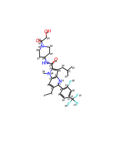 CCc1cc2c(nc1-c1ccc(C(F)(F)F)cc1F)c(CC(C)C)c(C(=O)NC1CCN(C(=O)CO)CC1)n2C